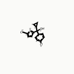 OC(c1ccc(Cl)cc1)(c1ccc(Cl)s1)C1CC1